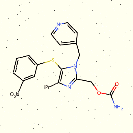 CC(C)c1nc(COC(N)=O)n(Cc2ccncc2)c1Sc1cccc([N+](=O)[O-])c1